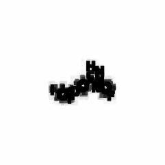 CC(c1ccc(OCc2cc(F)ccc2F)cc1)c1nc2cc(F)ccc2[nH]1